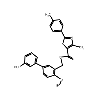 Cc1ccc(-c2nc(C)c(C(=O)NCc3cc(-c4cccc(C(=O)O)c4)ccc3OC(C)C)s2)cc1